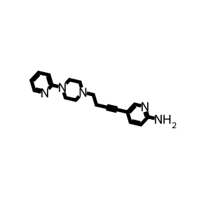 Nc1ccc(C#CCCN2CCN(c3ccccn3)CC2)cn1